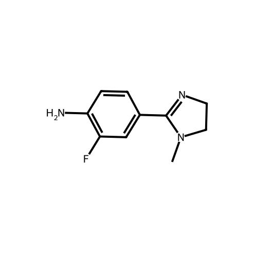 CN1CCN=C1c1ccc(N)c(F)c1